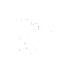 CCOC(=O)NCC1(NC(=O)OC(C)C)CCCC(NC(=O)OC(C)C)(NC(=O)OC(C)C)C1